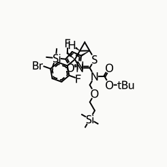 CC(C)(C)OC(=O)N(COCC[Si](C)(C)C)C1=N[C@](CF)(c2cc(Br)ccc2F)[C@@H]2C[C@]2(c2cc([Si](C)(C)C)on2)S1